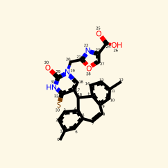 Cc1ccc2c(c1)C=Cc1cc(C)ccc1C2c1cn(Cc2nc(C(=O)O)co2)c(=O)[nH]c1=S